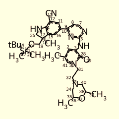 Cc1cc(Nc2nccc(-c3cc(C#N)c4c(c3)[C@@](C)(CO[Si](C)(C)C(C)(C)C)CN4)n2)c(=O)n(CCN2CC(C)OC(C)C2)c1